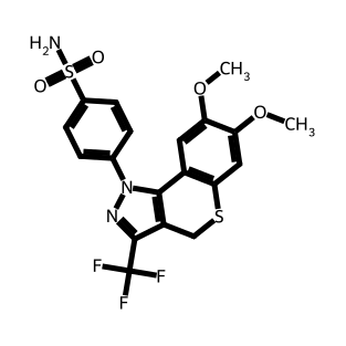 COc1cc2c(cc1OC)-c1c(c(C(F)(F)F)nn1-c1ccc(S(N)(=O)=O)cc1)CS2